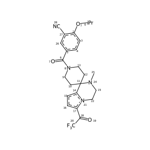 CC(C)Oc1ccc(C(=O)N2CCC3(CC2)c2ccc(C(=O)C(F)(F)F)n2CCN3C)cc1C#N